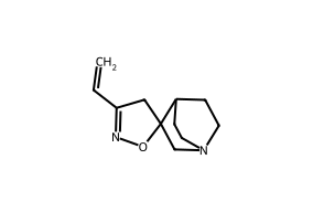 C=CC1=NOC2(C1)CN1CCC2CC1